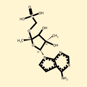 C[C@]1(OCP(=O)(O)O)O[C@@H](n2ccc3c(N)ncnc32)[C@](C)(O)C1O